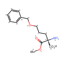 CC(C)(C)OC(=O)[C@@](N)(CCCOCc1ccccc1)C(=O)O